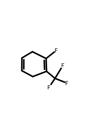 FC1=C(C(F)(F)F)CC=CC1